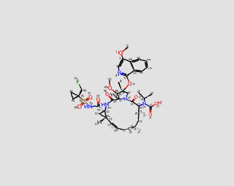 COc1cnc(O[C@]2(C)CN3C(=O)[C@@H](N(C(=O)O)C(C)C)[C@H](C)C[C@H](C)CC/C=C\[C@@H]4C[C@@]4(C(=O)NS(=O)(=O)C4(CF)CC4)NC(=O)[C@@H]3C2OC)c2ccccc12